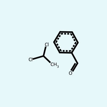 CC(Cl)Cl.O=Cc1ccccc1